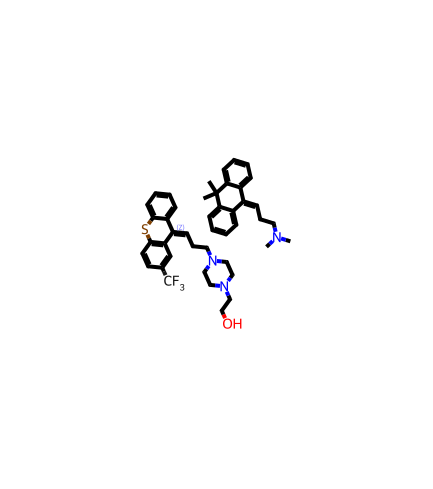 CN(C)CCC=C1c2ccccc2C(C)(C)c2ccccc21.OCCN1CCN(CC/C=C2/c3ccccc3Sc3ccc(C(F)(F)F)cc32)CC1